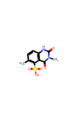 Cc1ccc2[nH]c(=O)n(C)c(=O)c2c1S(=O)(=O)O